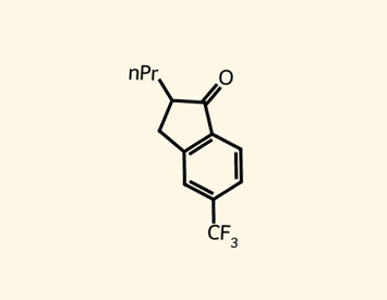 CCCC1Cc2cc(C(F)(F)F)ccc2C1=O